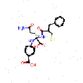 NC(=O)CC[C@@](NC(=O)C(CS)Cc1ccccc1)(Nc1ccc(C(=O)O)cc1)C(=O)O